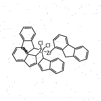 [Cl][Zr]([Cl])([Zr][c]1cccc2c1Cc1ccccc1-2)([CH]1C=Cc2ccccc21)([CH]1C=Cc2ccccc21)[CH]1C=Cc2ccccc21